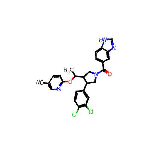 CC(Oc1ccc(C#N)cn1)C1CN(C(=O)c2ccc3[nH]cnc3c2)CC1c1ccc(Cl)c(Cl)c1